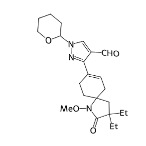 CCC1(CC)CC2(CC=C(c3nn(C4CCCCO4)cc3C=O)CC2)N(OC)C1=O